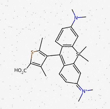 Cc1sc(C(=O)O)c(C)c1C1=C2C=CC(=[N+](C)C)C=C2[Si](C)(C)c2cc(N(C)C)ccc21